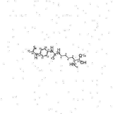 CN[C@@H](CCCCNC(=S)Nc1ccc(NC(C)=S)cc1)C(O)OC